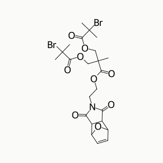 CC(C)(Br)C(=O)OCC(C)(COC(=O)C(C)(C)Br)C(=O)OCCN1C(=O)C2C3C=CC(O3)C2C1=O